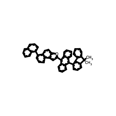 CC1(C)c2ccccc2-c2c(-c3c4ccccc4c(-c4cc5c(ccc6c(-c7cccc8ccccc78)cccc65)o4)c4ccccc34)cccc21